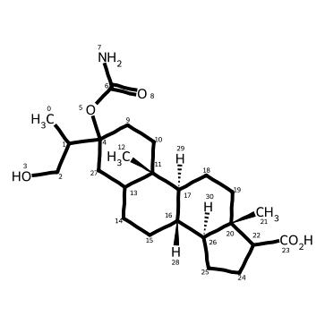 CC(CO)C1(OC(N)=O)CC[C@@]2(C)C(CC[C@@H]3[C@@H]2CC[C@]2(C)C(C(=O)O)CC[C@@H]32)C1